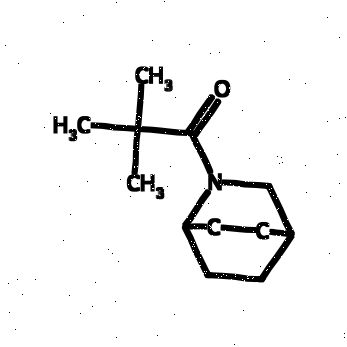 CC(C)(C)C(=O)N1CC2CCC1CC2